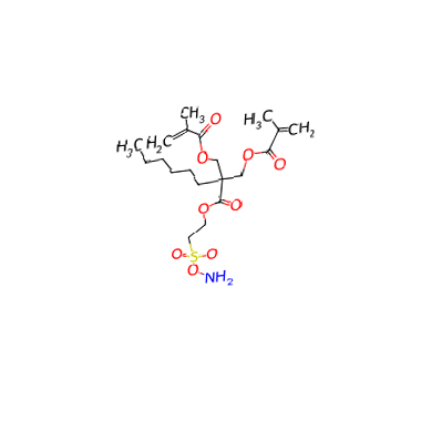 C=C(C)C(=O)OCC(CCCCCC)(COC(=O)C(=C)C)C(=O)OCCS(=O)(=O)ON